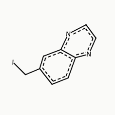 ICc1ccc2nccnc2c1